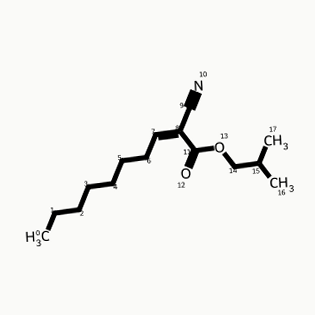 CCCCCCCC=C(C#N)C(=O)OCC(C)C